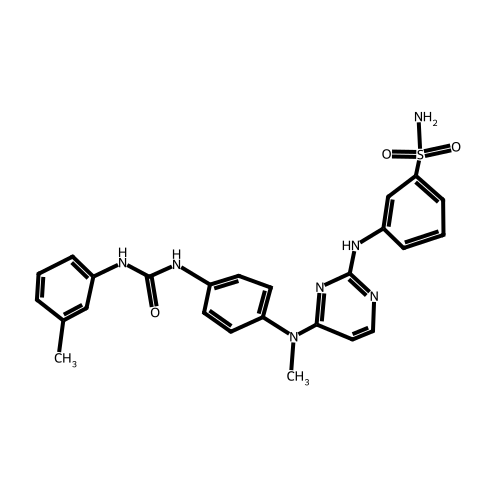 Cc1cccc(NC(=O)Nc2ccc(N(C)c3ccnc(Nc4cccc(S(N)(=O)=O)c4)n3)cc2)c1